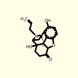 C=CCN1CC[C@@]23c4c5ccc(O)c4CC1C2(O)CCC(=O)C3O5